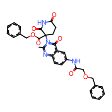 Cc1nc2ccc(NC(=O)COCc3ccccc3)cc2c(=O)n1C1(C(=O)OCc2ccccc2)CCC(=O)NC1=O